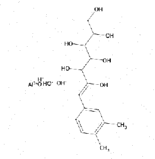 Cc1ccc(C=C(O)C(O)C(O)C(O)C(O)CO)cc1C.[Al+3].[OH-].[OH-].[OH-]